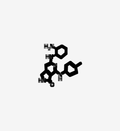 Cc1ccc(Nc2nc(N[C@@H]3CCCC[C@@H]3N)cc3c2C(=O)NC3)cc1